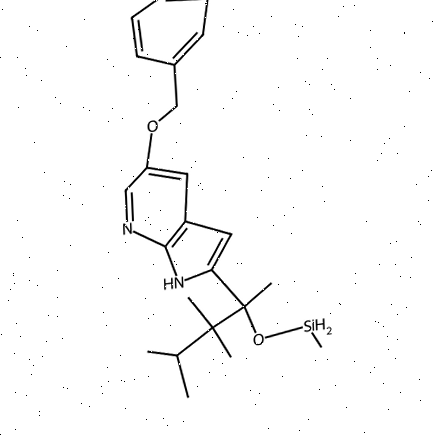 C[SiH2]OC(C)(c1cc2cc(OCc3ccccc3)cnc2[nH]1)C(C)(C)C(C)C